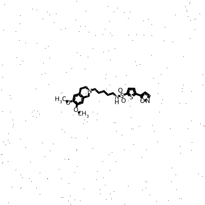 COc1cc2c(cc1OC)CN(CCCCCNS(=O)(=O)c1ccc(-c3ccno3)s1)CC2